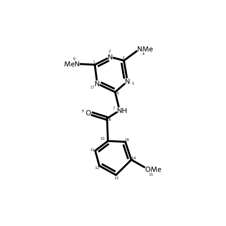 CNc1nc(NC)nc(NC(=O)c2cccc(OC)c2)n1